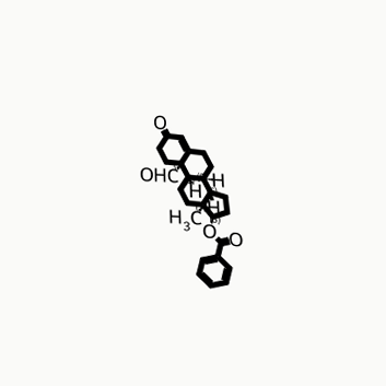 C[C@]12CC[C@H]3[C@@H](CCC4=CC(=O)CC[C@@]43C=O)[C@@H]1CC[C@@H]2OC(=O)c1ccccc1